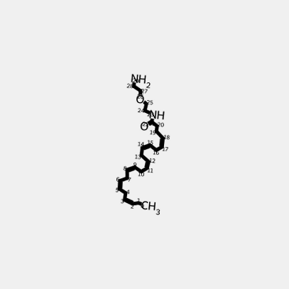 CC/C=C\C/C=C\C/C=C\C/C=C\C/C=C\C/C=C\CCC(=O)NCCOCCN